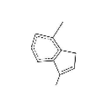 CC1=CCc2c(C)cccc21